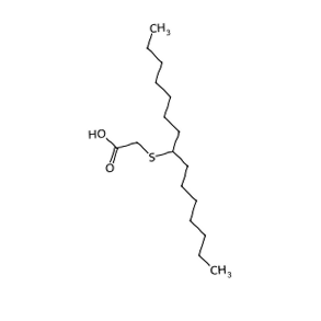 CCCCCCCC(CCCCCCC)SCC(=O)O